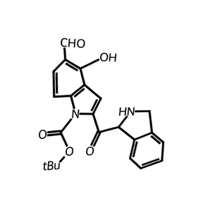 CC(C)(C)OC(=O)n1c(C(=O)C2NCc3ccccc32)cc2c(O)c(C=O)ccc21